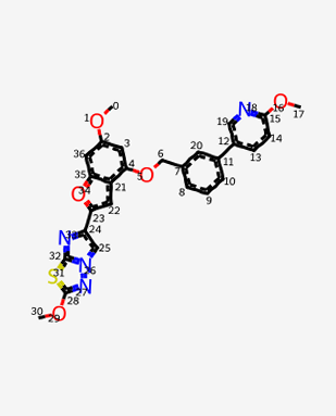 COc1cc(OCc2cccc(-c3ccc(OC)nc3)c2)c2cc(-c3cn4nc(OC)sc4n3)oc2c1